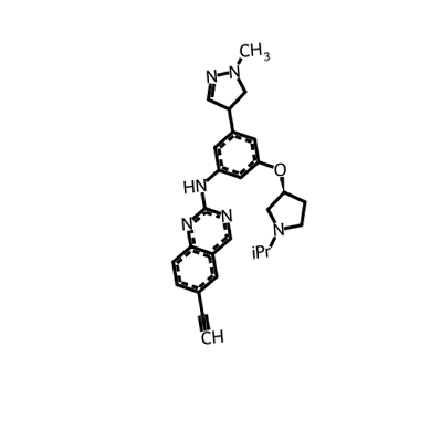 C#Cc1ccc2nc(Nc3cc(O[C@H]4CCN(C(C)C)C4)cc(C4C=NN(C)C4)c3)ncc2c1